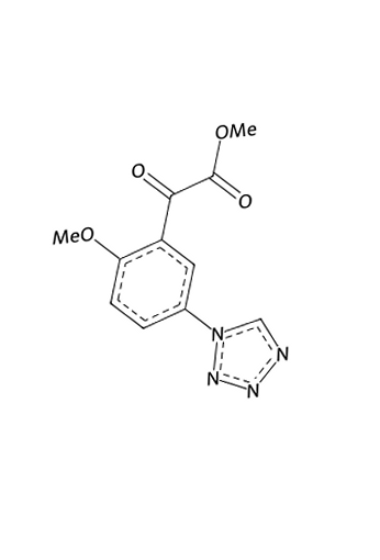 COC(=O)C(=O)c1cc(-n2cnnn2)ccc1OC